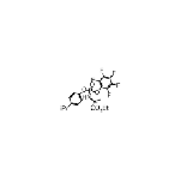 CCOC(=O)[C@H](C)NP(=O)(Oc1ccc(C(C)C)cc1)Oc1c(F)c(F)c(F)c(F)c1F